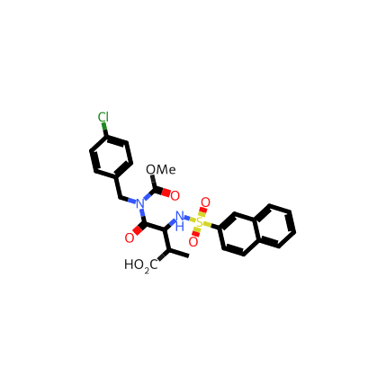 COC(=O)N(Cc1ccc(Cl)cc1)C(=O)C(NS(=O)(=O)c1ccc2ccccc2c1)C(C)C(=O)O